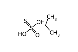 CCC.O=S(O)(O)=S